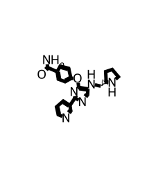 NC(=O)c1ccc(Oc2nc(-c3cccnc3)ncc2NC[C@@H]2CCCN2)cc1